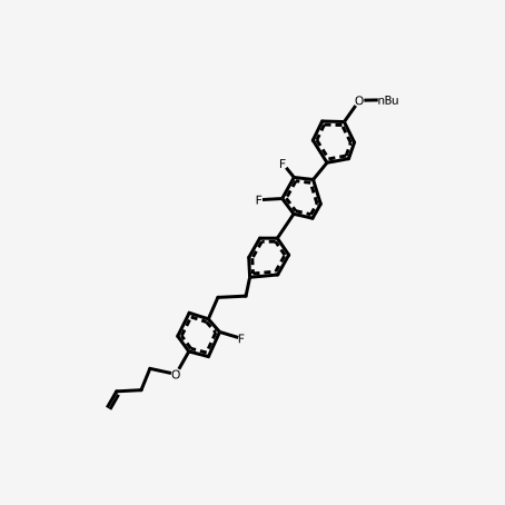 C=CCCOc1ccc(CCc2ccc(-c3ccc(-c4ccc(OCCCC)cc4)c(F)c3F)cc2)c(F)c1